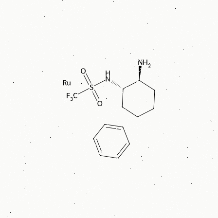 N[C@H]1CCCC[C@@H]1NS(=O)(=O)C(F)(F)F.[Ru].c1ccccc1